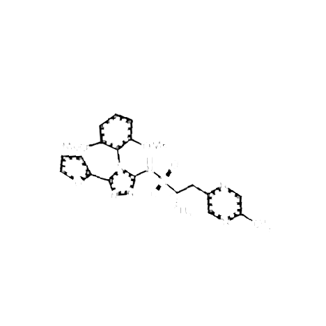 COc1cccc(OC)c1-n1c(NS(=O)(=O)[C@@H](C)Cc2cnc(C)cn2)nnc1-c1ccco1